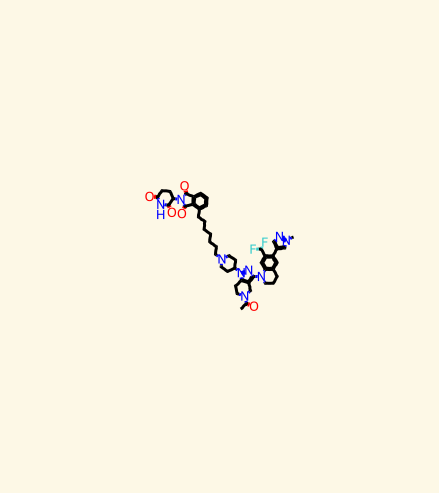 CC(=O)N1CCc2c(c(N3CCCc4cc(-c5cnn(C)c5)c(C(F)F)cc43)nn2C2CCN(CCCCCCCc3cccc4c3C(=O)N(C3CCC(=O)NC3=O)C4=O)CC2)C1